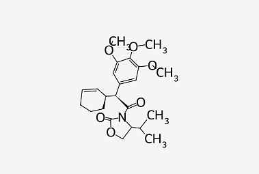 COc1cc([C@@H](C(=O)N2C(=O)OCC2C(C)C)[C@@H]2C=CCCC2)cc(OC)c1OC